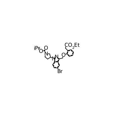 CCOC(=O)Cc1ccccc1OCc1nn(C2CCN(C(=O)OC(C)C)C2)c2ccc(Br)cc12